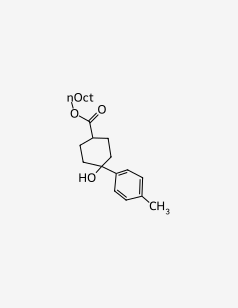 CCCCCCCCOC(=O)C1CCC(O)(c2ccc(C)cc2)CC1